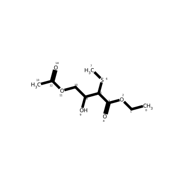 CCOC(=O)C(SC)C(O)COC(C)=O